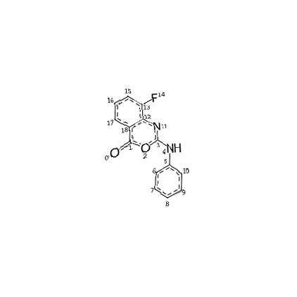 O=c1oc(Nc2ccccc2)nc2c(F)cccc12